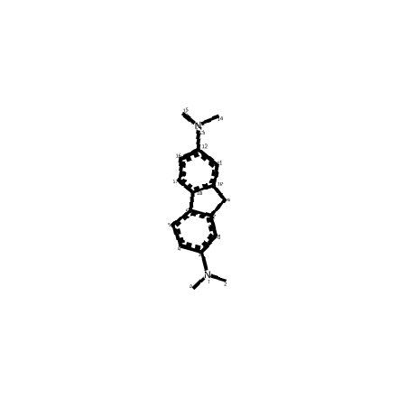 CN(C)c1ccc2c(c1)Cc1cc(N(C)C)ccc1-2